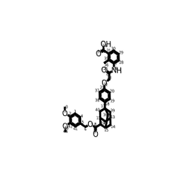 COc1ccc(COC(=O)C2C3CC4CC2CC(c2ccc(OCC(=O)Nc5cccc(C(=O)O)c5C)cc2)(C4)C3)cc1OC